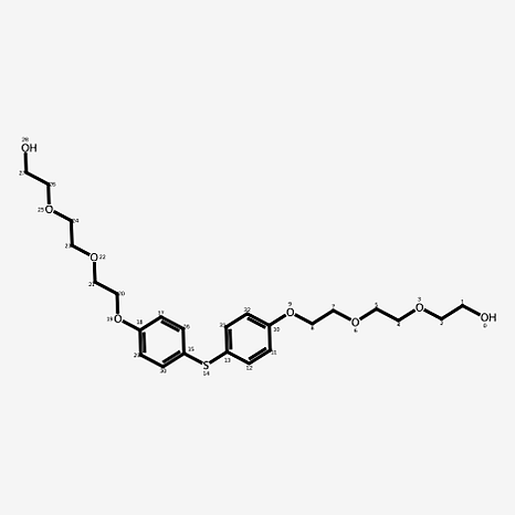 OCCOCCOCCOc1ccc(Sc2ccc(OCCOCCOCCO)cc2)cc1